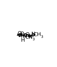 Cc1ccc(-c2cc(Oc3ccc(NC(=O)N4CCC5(CC5)C4=O)nc3C)ccn2)cn1